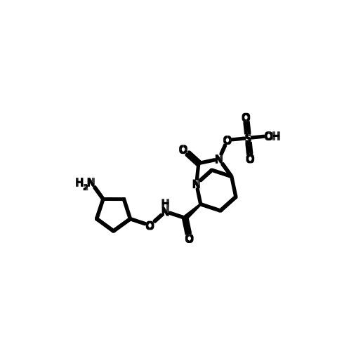 NC1CCC(ONC(=O)[C@@H]2CCC3CN2C(=O)N3OS(=O)(=O)O)C1